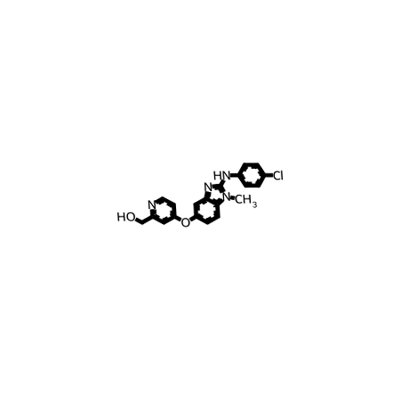 Cn1c(Nc2ccc(Cl)cc2)nc2cc(Oc3ccnc(CO)c3)ccc21